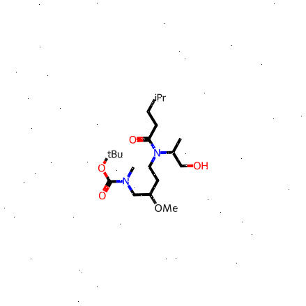 COC(CCN(C(=O)CCC(C)C)C(C)CO)CN(C)C(=O)OC(C)(C)C